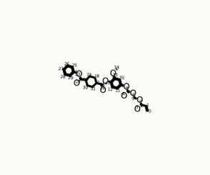 C=CC(=O)OCOC(=O)Oc1ccc(OC(=O)C2CCC(C(=O)Oc3ccccc3)CC2)c(OC)c1